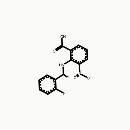 O=C(O)c1cccc([N+](=O)[O-])c1NC(F)c1ccccc1F